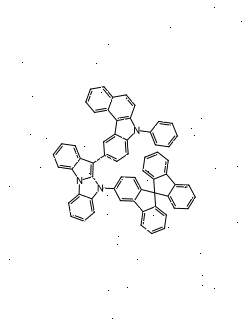 c1ccc(-n2c3ccc(-c4c5ccccc5n5c6ccccc6n(-c6ccc7c(c6)-c6ccccc6C76c7ccccc7-c7ccccc76)c45)cc3c3c4ccccc4ccc32)cc1